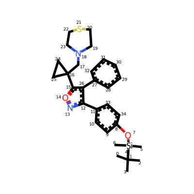 CC(C)(C)[Si](C)(C)Oc1ccc(-c2noc(C3(CN4CCSCC4)CC3)c2-c2ccccc2)cc1